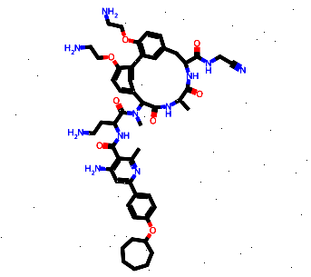 Cc1nc(-c2ccc(OC3CCCCCC3)cc2)cc(N)c1C(=O)NC(CCN)C(=O)N(C)C1C(=O)NC(C)C(=O)NC(C(=O)NCC#N)Cc2ccc(OCCN)c(c2)-c2cc1ccc2OCCN